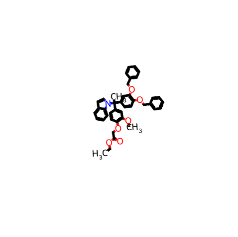 CCOC(=O)COc1ccc(C(C)(c2ccc(OCc3ccccc3)c(OCc3ccccc3)c2)n2ccc3ccccc32)cc1OC